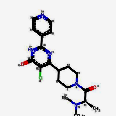 C[C@H](C(=O)N1CCC(c2nc(-c3ccncc3)[nH]c(=O)c2Cl)CC1)N(C(=O)O)C(C)(C)C